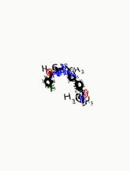 C=C(/C=N\C=C(/C)NC(=O)c1cccc(F)c1)Nc1ccc(-c2ccc(C(=O)N(C)C)cc2)cn1